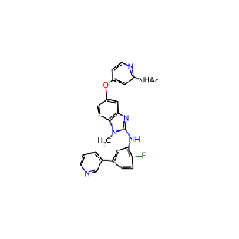 CC(=O)Nc1cc(Oc2ccc3c(c2)nc(Nc2cc(-c4cccnc4)ccc2F)n3C)ccn1